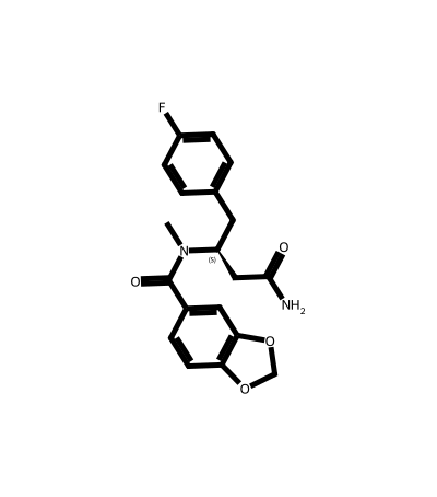 CN(C(=O)c1ccc2c(c1)OCO2)[C@H](CC(N)=O)Cc1ccc(F)cc1